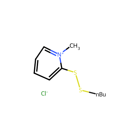 CCCCSSc1cccc[n+]1C.[Cl-]